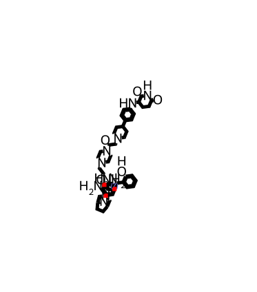 NC(N)=C(/C=C(\N)c1ccccc1O)N1CC2CCC(C1)N2c1cccc(OCCN2CCN(C(=O)CN3CCC(c4ccc(NC5CCC(=O)NC5=O)cc4)CC3)CC2)c1